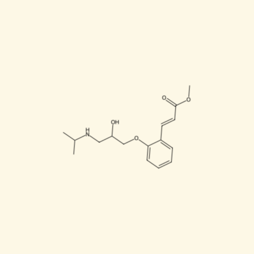 COC(=O)/C=C/c1ccccc1OCC(O)CNC(C)C